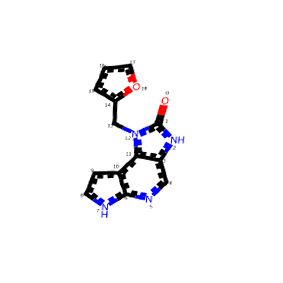 O=c1[nH]c2cnc3[nH]ccc3c2n1Cc1ccco1